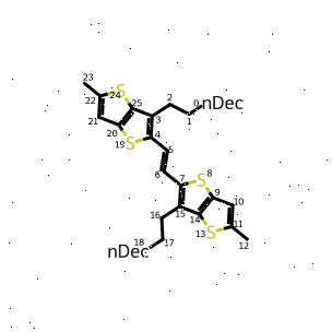 CCCCCCCCCCCCc1c(/C=C/c2sc3cc(C)sc3c2CCCCCCCCCCCC)sc2cc(C)sc12